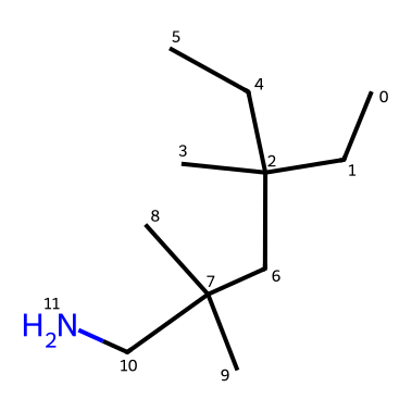 CCC(C)(CC)CC(C)(C)CN